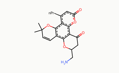 CCCc1cc(=O)oc2c3c(c4c(c12)OC(C)(C)C=C4)OC(CN)CC3=O